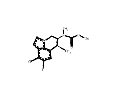 C[C@H]1c2cc(F)c(Cl)c3ccn(c23)C[C@H]1N(C)C(=O)OC(C)(C)C